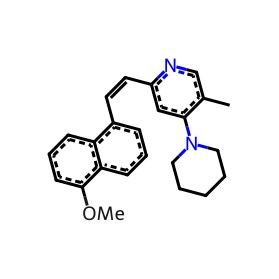 COc1cccc2c(/C=C\c3cc(N4CCCCC4)c(C)cn3)cccc12